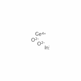 [Ge+4].[In].[O-2].[O-2]